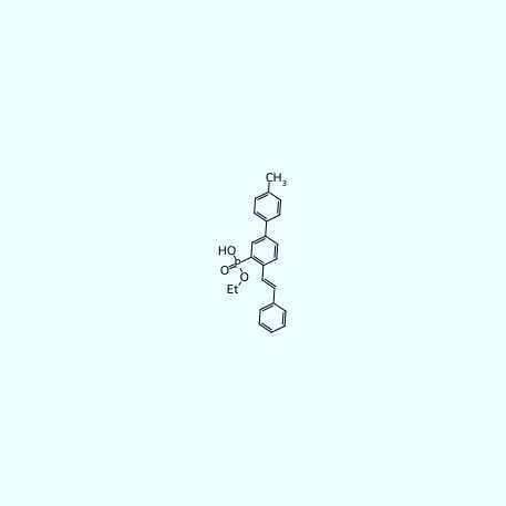 CCOP(=O)(O)c1cc(-c2ccc(C)cc2)ccc1C=Cc1ccccc1